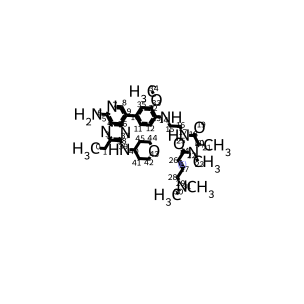 CCc1nc2c(N)ncc(-c3ccc(NCCNC(=O)[C@H](C)N(C)C(=O)/C=C/CN(C)C)c(OC)c3)c2nc1NC1CCOCC1